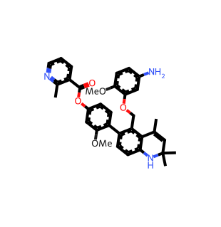 COc1ccc(N)cc1OCc1c(-c2ccc(OC(=O)c3cccnc3C)cc2OC)ccc2c1C(C)=CC(C)(C)N2